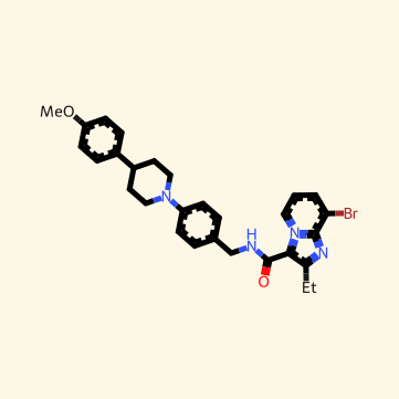 CCc1nc2c(Br)cccn2c1C(=O)NCc1ccc(N2CCC(c3ccc(OC)cc3)CC2)cc1